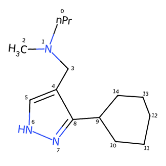 CCCN(C)Cc1c[nH]nc1C1CCCCC1